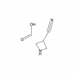 N#CC1CNC1.O=CO